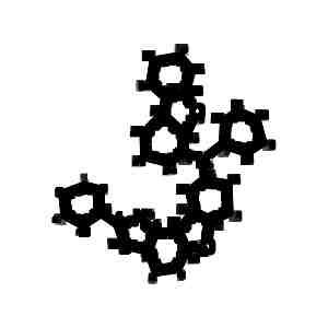 c1ccc(-c2nc3c(ccc4oc5ccc(N(c6ccccc6)c6cccc7c6oc6ccccc67)cc5c43)s2)cc1